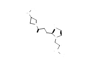 CNC1CN(C(=O)CCc2nccn2CCOC)C1